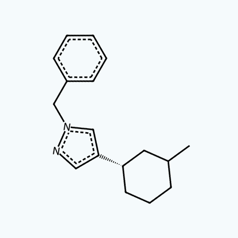 CC1CCC[C@H](c2cnn(Cc3ccccc3)c2)C1